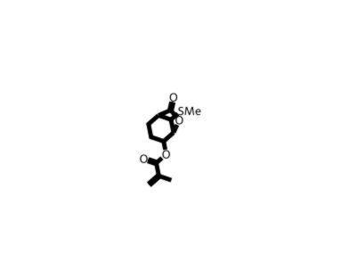 C=C(C)C(=O)OC1CCC2C(=O)OC1C2SC